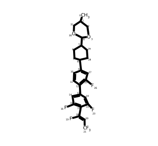 CC1COC(C2CCC(c3ccc(-c4cc(F)c(/C(F)=C/C(F)(F)F)c(F)c4)c(F)c3)CC2)OC1